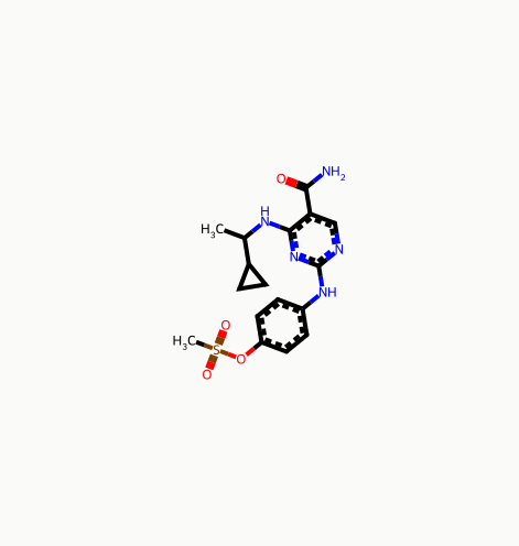 CC(Nc1nc(Nc2ccc(OS(C)(=O)=O)cc2)ncc1C(N)=O)C1CC1